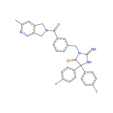 Cc1cc2c(cn1)CN(C(=O)c1cccc(CN3C(=N)NC(c4ccc(F)cc4)(c4ccc(F)cc4)C3=O)c1)C2